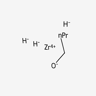 CCCC[O-].[H-].[H-].[H-].[Zr+4]